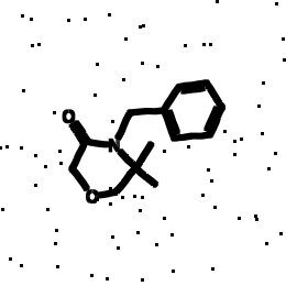 CC1(C)COCC(=O)N1Cc1ccccc1